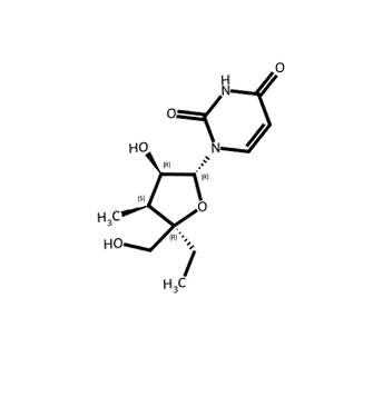 CC[C@@]1(CO)O[C@@H](n2ccc(=O)[nH]c2=O)[C@H](O)[C@@H]1C